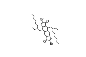 CCCCCCC(CC)Cc1c2cc3c(=O)c(Br)cc3cc2c(CC(CC)CCCCCC)c2c(=O)c(Br)cc12